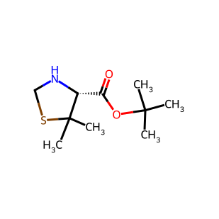 CC(C)(C)OC(=O)[C@H]1NCSC1(C)C